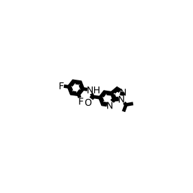 CC(C)n1ncc2cc(C(=O)Nc3ccc(F)cc3F)cnc21